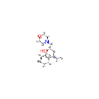 C/C=C(\CC(O)CN1CCOCC1)C1=CC=CCC1